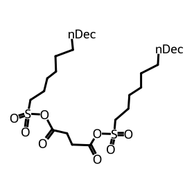 CCCCCCCCCCCCCCCCS(=O)(=O)OC(=O)CCC(=O)OS(=O)(=O)CCCCCCCCCCCCCCCC